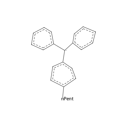 CCCCCc1ccc([C](c2ccccc2)c2ccccc2)cc1